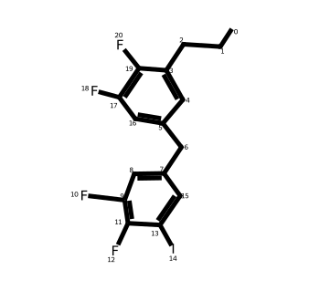 CCCc1cc(Cc2cc(F)c(F)c(I)c2)cc(F)c1F